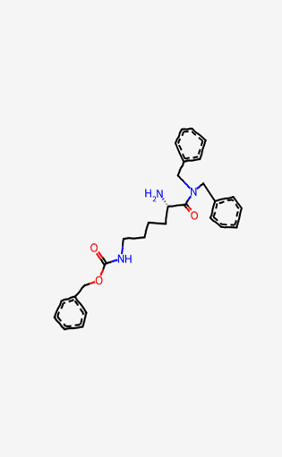 N[C@@H](CCCCNC(=O)OCc1ccccc1)C(=O)N(Cc1ccccc1)Cc1ccccc1